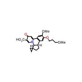 COCCCOc1cc2c(cc1OC)-c1cc(=O)c(C(=O)O)cn1[C@H]1[C@@H]2CCC12CC2